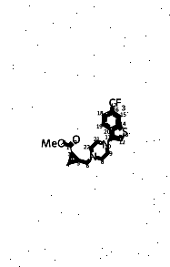 COC(=O)[C@H]1CC1CN1CCN(c2csc3cc(C(F)(F)F)ccc23)CC1